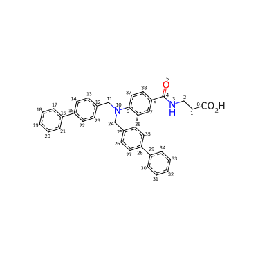 O=C(O)CCNC(=O)c1ccc(N(Cc2ccc(-c3ccccc3)cc2)Cc2ccc(-c3ccccc3)cc2)cc1